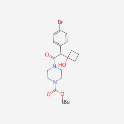 CC(C)(C)OC(=O)N1CCN(C(=O)C(c2ccc(Br)cc2)C2(O)CCC2)CC1